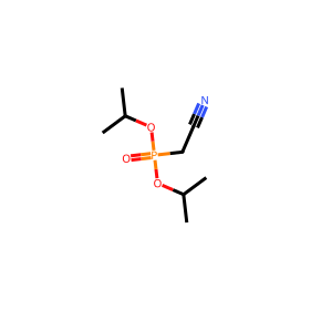 CC(C)OP(=O)(CC#N)OC(C)C